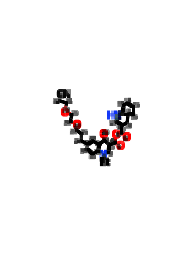 CCn1cc(C(=O)OC(=O)C2=CNc3ccccc3C2)c(=O)c2cc(CCCOCCOCCC#N)ccc21